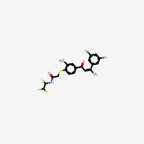 Cc1cc(C(=O)C=C(c2cc(Cl)cc(Cl)c2)C(F)(F)F)ccc1SCC(=O)NC(F)C(F)F